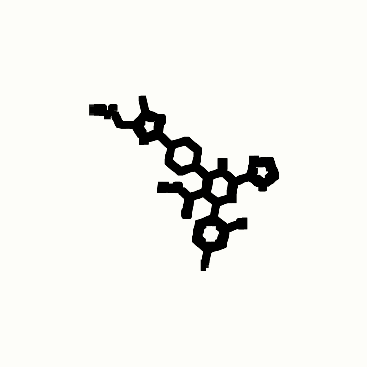 COC(=O)C1=C(C2CCC(c3nc(CC(=O)O)c(C)o3)CC2)NC(c2nccs2)=NC1c1ccc(F)cc1Cl